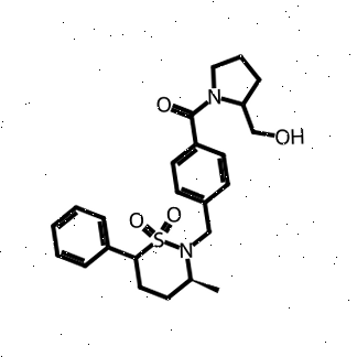 C[C@H]1CCC(c2ccccc2)S(=O)(=O)N1Cc1ccc(C(=O)N2CCCC2CO)cc1